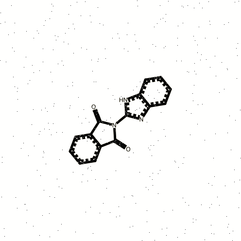 O=C1c2ccccc2C(=O)N1c1nc2ccccc2[nH]1